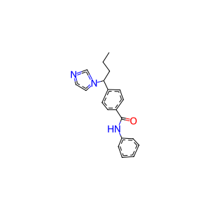 CCCC(c1ccc(C(=O)Nc2ccccc2)cc1)n1ccnc1